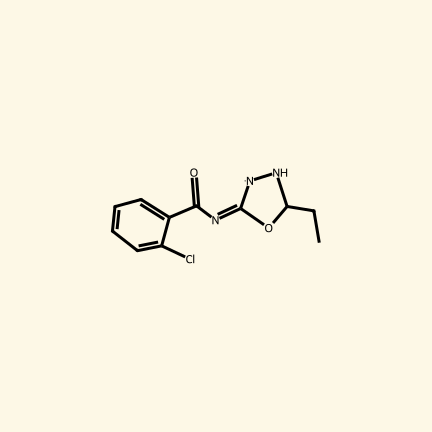 CCC1N[N]C(=NC(=O)c2ccccc2Cl)O1